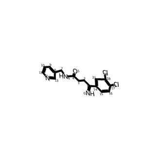 N=C(CCC(=O)NCc1cccnc1)c1ccc(Cl)c(Cl)c1